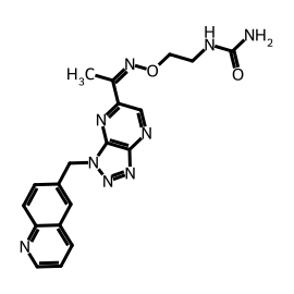 C/C(=N/OCCNC(N)=O)c1cnc2nnn(Cc3ccc4ncccc4c3)c2n1